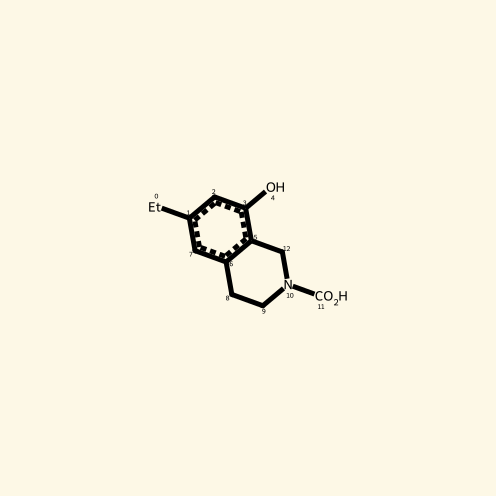 CCc1cc(O)c2c(c1)CCN(C(=O)O)C2